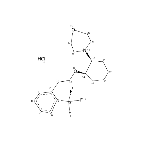 Cl.FC(F)(F)c1ccccc1CCO[C@@H]1CCCC[C@@H]1N1CCOCC1